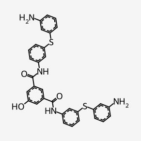 Nc1cccc(Sc2cccc(NC(=O)c3cc(O)cc(C(=O)Nc4cccc(Sc5cccc(N)c5)c4)c3)c2)c1